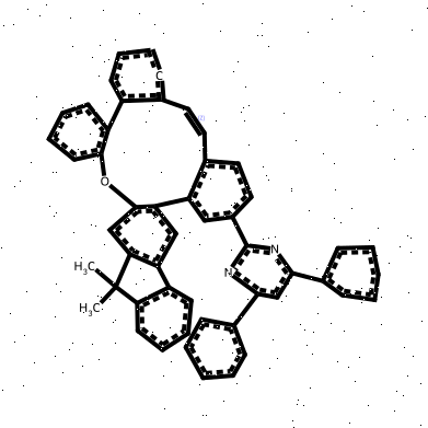 CC1(C)c2ccccc2-c2cc3c(cc21)Oc1ccccc1-c1ccccc1/C=C\c1ccc(-c2nc(-c4ccccc4)cc(-c4ccccc4)n2)cc1-3